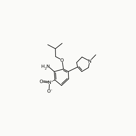 CC(C)COc1c(C2=CCN(C)CC2)ccc([N+](=O)[O-])c1N